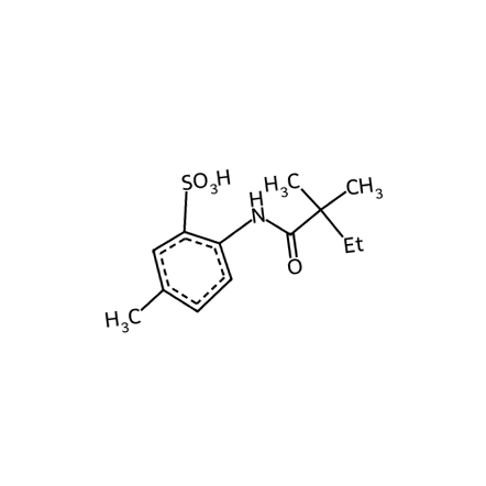 CCC(C)(C)C(=O)Nc1ccc(C)cc1S(=O)(=O)O